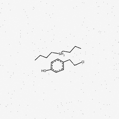 CCCC[SiH2]CCCC.Oc1ccc(CCCl)cc1